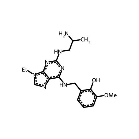 CCn1cnc2c(NCc3cccc(OC)c3O)nc(NCC(C)N)nc21